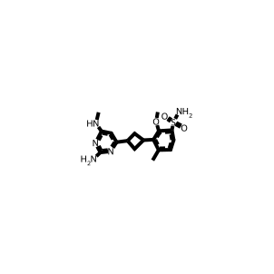 CNc1cc(C2CC(c3c(C)ccc(S(N)(=O)=O)c3OC)C2)nc(N)n1